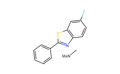 CNC.Fc1ccc2nc(-c3ccccc3)sc2c1